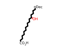 CCCCCCCCCCCCCCC(O)CCCCCCCCCCCC(=O)O